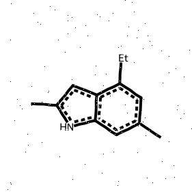 CCc1cc(C)cc2[nH]c(C)cc12